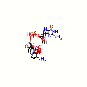 Nc1nc2c(ncn2[C@@H]2S[C@@H]3COP(=O)(O)O[C@H]4[C@H]5OC[C@]4(COP(O)(=S)O[C@@H]2[C@@H]3O)O[C@H]5n2cnc3c(N)ccnc32)c(=O)[nH]1